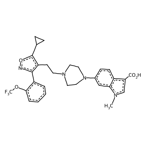 Cn1cc(C(=O)O)c2ccc(N3CCN(CCc4c(-c5ccccc5OC(F)(F)F)noc4C4CC4)CC3)cc21